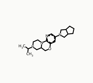 CC(C)N1CCN2c3ncc(N4CC5CCCC5C4)cc3OCC2C1